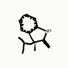 C=C1Nc2ccccc2[C@@]1(C)C(C)C